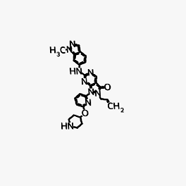 C=CCn1c(=O)c2cnc(Nc3ccc4cnn(C)c4c3)nc2n1-c1cccc(OC2CCNCC2)n1